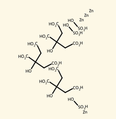 O=C(O)CC(O)(CC(=O)O)C(=O)O.O=C(O)CC(O)(CC(=O)O)C(=O)O.O=C(O)CC(O)(CC(=O)O)C(=O)O.O=S(=O)(O)O.O=S(=O)(O)O.O=S(=O)(O)O.[Zn].[Zn].[Zn].[Zn]